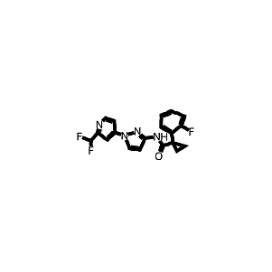 O=C(Nc1ccn(-c2ccnc(C(F)F)c2)n1)C1(c2ccccc2F)CC1